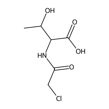 CC(O)C(NC(=O)CCl)C(=O)O